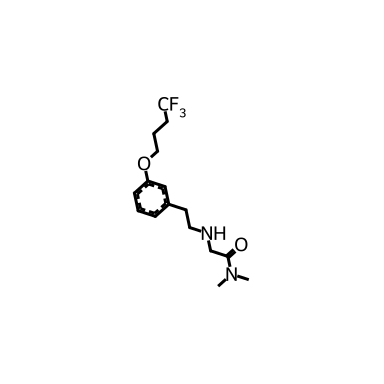 CN(C)C(=O)CNCCc1cccc(OCCCC(F)(F)F)c1